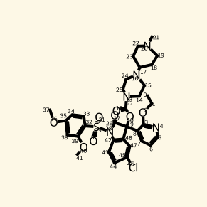 CCOc1ncccc1C1(OC(=O)N2CCN(C3CCN(C)CC3)CC2)C(=O)N(S(=O)(=O)c2ccc(OC)cc2OC)c2ccc(Cl)cc21